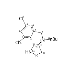 CCCCN(Cc1cc(Cl)cc(Cl)c1)[C@H]1CCNC1